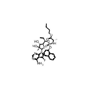 CCCCOC(=O)[C@H](C)NP(=O)(Oc1cccc2ccccc12)O[C@H](CC)[C@H]1O[C@@H](n2cc(F)c3c(N)ncnc32)[C@](C)(O)[C@@H]1O